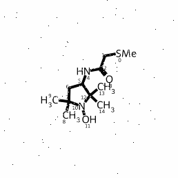 CSCC(=O)NC1CC(C)(C)N(O)C1(C)C